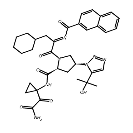 CC(C)(O)c1cnnn1[C@H]1C[C@@H](C(=O)NC2(C(=O)C(N)=O)CC2)N(C(=O)/C(CC2CCCCC2)=N/C(=O)c2ccc3ccccc3c2)C1